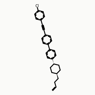 C=CCC[C@H]1CC[C@H](c2ccc(-c3ccc(C#Cc4ccc(Cl)cc4)cc3)cc2)CC1